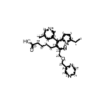 CCc1ccc2c(-c3cncc(C)c3)c(CCCCC(=O)O)c(COCc3cnccn3)nn12